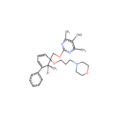 Cc1nc(OCC2(OCCCN3CCOCC3)C=CC=C(c3ccccc3)C2(C)Br)nc(C)c1C=O